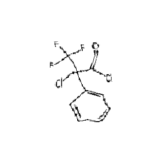 O=C(Cl)C(Cl)(c1ccccc1)C(F)(F)F